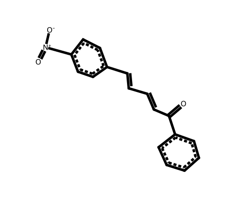 O=C(C=CC=Cc1ccc([N+](=O)[O-])cc1)c1ccccc1